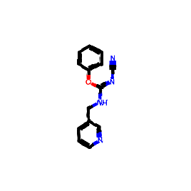 N#C/N=C(/NCc1cccnc1)Oc1ccccc1